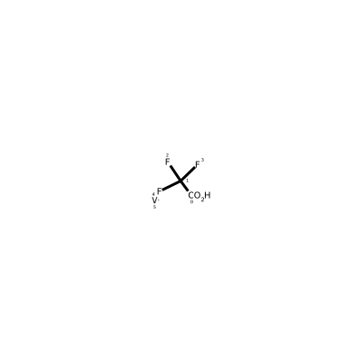 O=C(O)C(F)(F)F.[V]